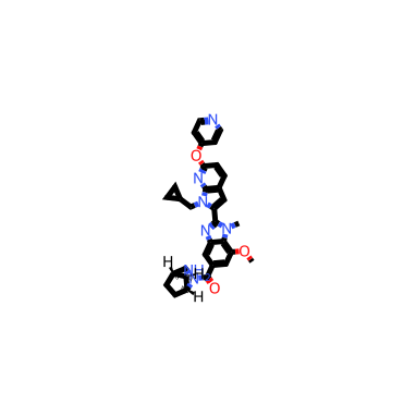 COc1cc(C(=O)N2C[C@H]3CC[C@@H]2[C@@H]3N)cc2nc(-c3cc4ccc(Oc5ccncc5)nc4n3CC3CC3)n(C)c12